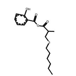 CCCCCCSCC(C)C(=O)OC(=O)c1ccccc1O